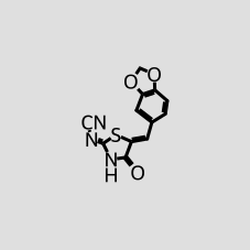 N#CN=C1NC(=O)C(=Cc2ccc3c(c2)OCO3)S1